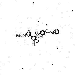 CNc1cncc(-c2c[nH]c(=O)c(NC(=O)c3ccc(OCCCN4CCCCC4)cc3)c2)n1